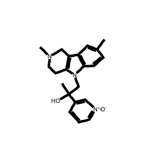 Cc1ccc2c(c1)c1c(n2CC(C)(O)c2ccc[n+]([O-])c2)CCN(C)C1